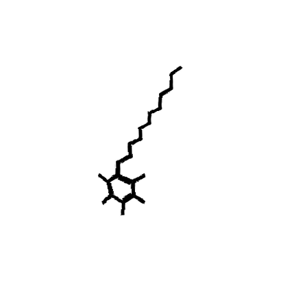 CCCCCCCCCCCCc1c(C)c(C)c(C)c(C)c1C